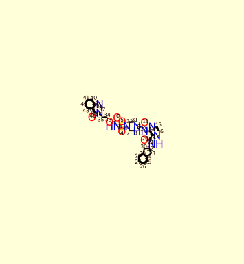 O=C(NS(=O)(=O)N1CCN(C(=O)Nc2nccnc2C(=O)NC2Cc3ccccc3C2)CC1)OCCn1cnc2ccccc2c1=O